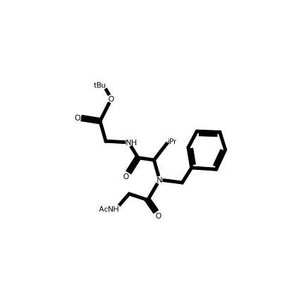 CC(=O)NCC(=O)N(Cc1ccccc1)C(C(=O)NCC(=O)OC(C)(C)C)C(C)C